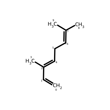 C=CC(C)=CC[C]=C(C)C